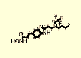 CCCCN(CCc1nc2cc(/C=C/C(=O)NO)ccc2[nH]1)CC(F)(F)F